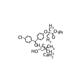 CC(C)OC(=O)C(C)(C)Oc1ccc(C(=O)c2ccc(Cl)cc2)cc1.C[N+](C)(C)CCO.[CaH2]